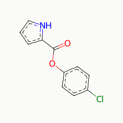 O=C(Oc1ccc(Cl)cc1)c1ccc[nH]1